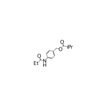 CCC(=O)Nc1ccc(COC(=O)C(C)C)cc1